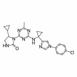 Cc1nc(NC2(c3cn(-c4ccc(Cl)cc4)cn3)CC2)nc(N2C(=O)NCC2C2CC2)n1